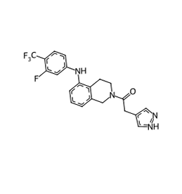 O=C(Cc1cn[nH]c1)N1CCc2c(cccc2Nc2ccc(C(F)(F)F)c(F)c2)C1